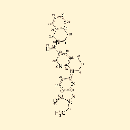 CCN1Cc2cc(N3CCCc4cc(C(=O)N5CCc6ccccc6C5)cnc43)ccc2C1=O